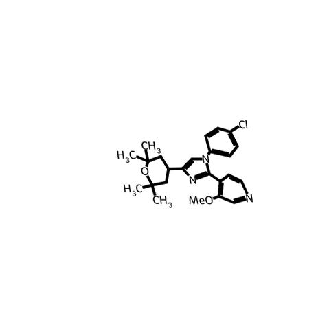 COc1cnccc1-c1nc(C2CC(C)(C)OC(C)(C)C2)cn1-c1ccc(Cl)cc1